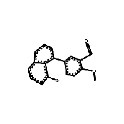 COc1ccc(-c2cccc3cccc(Br)c23)cc1C=O